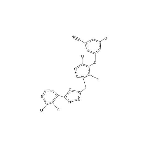 N#Cc1cc(Cl)cc(Oc2c(Cl)ccc(Cc3nnc(-c4ccnc(Cl)c4Cl)o3)c2F)c1